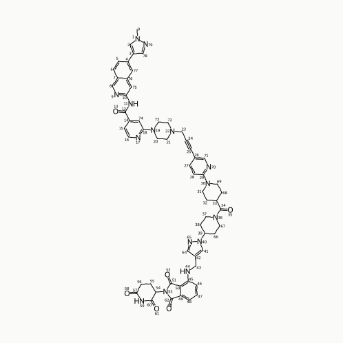 Cn1cc(-c2ccc3cnc(NC(=O)c4ccnc(N5CCN(CC#Cc6ccc(N7CCC(C(=O)N8CCC(n9cc(CNc%10cccc%11c%10C(=O)N(C%10CCC(=O)NC%10=O)C%11=O)cn9)CC8)CC7)nc6)CC5)c4)cc3c2)cn1